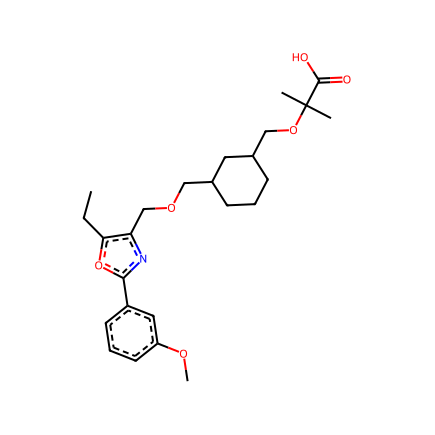 CCc1oc(-c2cccc(OC)c2)nc1COCC1CCCC(COC(C)(C)C(=O)O)C1